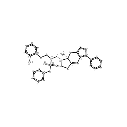 C[C@]12Cc3cnn(-c4ccccc4)c3C=C1CC[C@@H]2CN(CCc1ccccc1O)S(=O)(=O)Cc1cccnc1